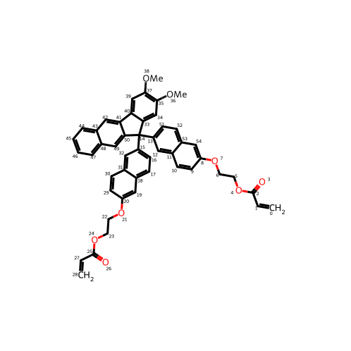 C=CC(=O)OCCOc1ccc2cc(C3(c4ccc5cc(OCCOC(=O)C=C)ccc5c4)c4cc(OC)c(OC)cc4-c4cc5ccccc5cc43)ccc2c1